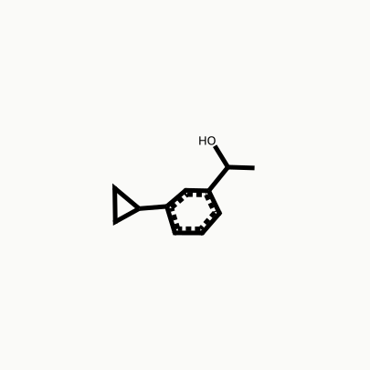 CC(O)c1cccc(C2CC2)c1